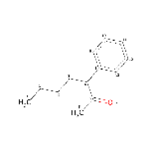 CCCCC(C(C)=O)c1ccccc1